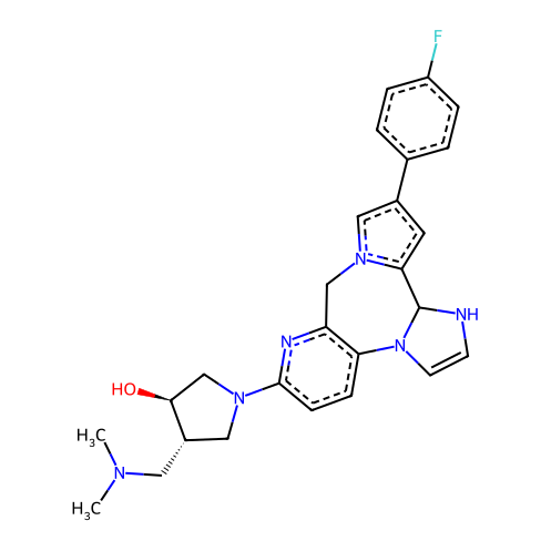 CN(C)C[C@H]1CN(c2ccc3c(n2)Cn2cc(-c4ccc(F)cc4)cc2C2NC=CN32)C[C@@H]1O